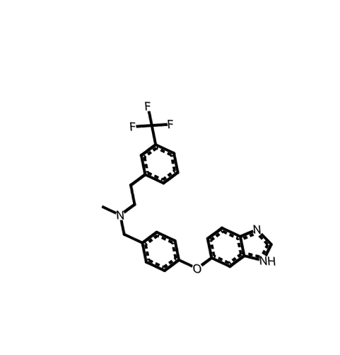 CN(CCc1cccc(C(F)(F)F)c1)Cc1ccc(Oc2ccc3nc[nH]c3c2)cc1